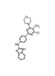 Cc1c(Cl)nc(-c2ccc(Nc3nc4ccccc4[nH]3)cc2)nc1N1CCOCC1